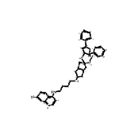 Clc1ccc2c(NCCCCNC3CC4CC5(CC4C3)OOC3(c4ccccc4)CC(c4ccccc4)=CC3O5)ccnc2c1